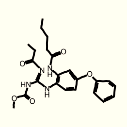 CCCCC(=O)Nc1cc(Oc2ccccc2)ccc1NC(=NC(=O)CC)NC(=O)OC